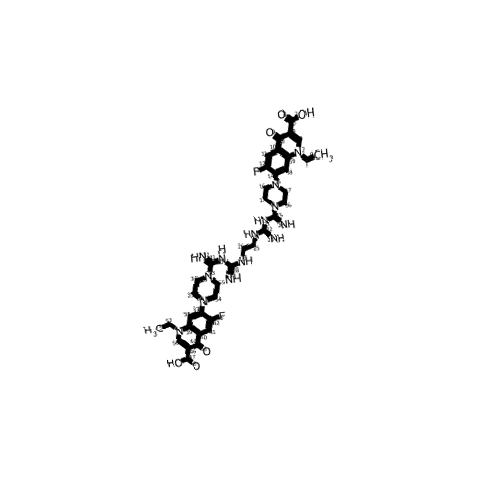 CCn1cc(C(=O)O)c(=O)c2cc(F)c(N3CCN(C(=N)NC(=N)NCCNC(=N)NC(=N)N4CCN(c5cc6c(cc5F)c(=O)c(C(=O)O)cn6CC)CC4)CC3)cc21